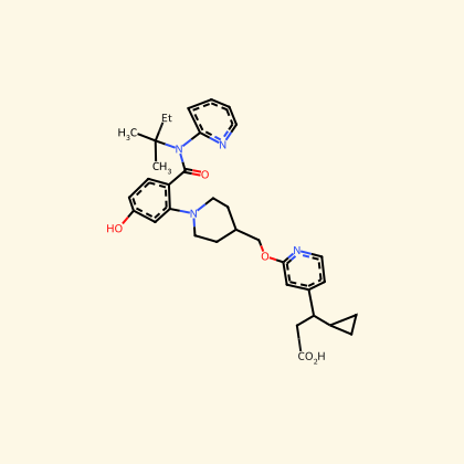 CCC(C)(C)N(C(=O)c1ccc(O)cc1N1CCC(COc2cc(C(CC(=O)O)C3CC3)ccn2)CC1)c1ccccn1